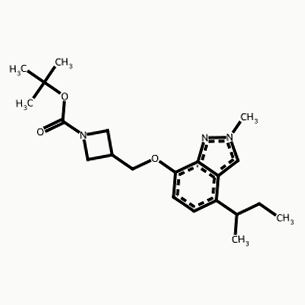 CCC(C)c1ccc(OCC2CN(C(=O)OC(C)(C)C)C2)c2nn(C)cc12